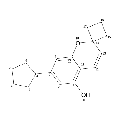 Oc1cc(C2CCCC2)cc2c1C=CC1(CCC1)O2